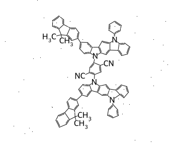 CC1(C)c2ccccc2-c2ccc(-c3ccc4c(c3)c3cc5c(cc3n4-c3cc(C#N)c(-n4c6ccc(-c7ccc8c(c7)C(C)(C)c7ccccc7-8)cc6c6cc7c(cc64)c4ccccc4n7-c4ccccc4)cc3C#N)c3ccccc3n5-c3ccccc3)cc21